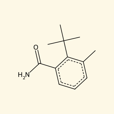 Cc1cccc(C(N)=O)c1C(C)(C)C